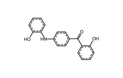 O=C(c1ccc(Nc2ccccc2O)cc1)c1ccccc1O